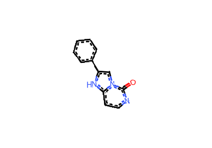 O=c1nccc2[nH]c(-c3ccccc3)cn12